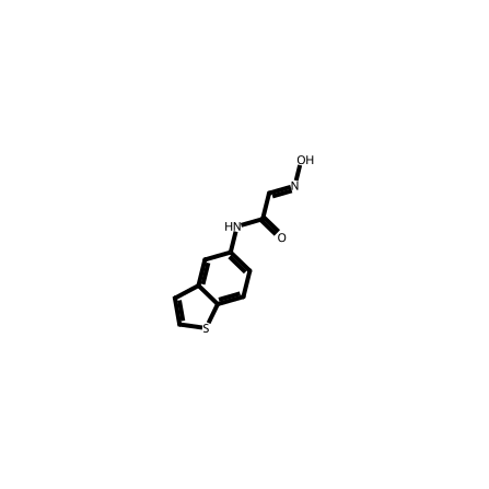 O=C(C=NO)Nc1ccc2sccc2c1